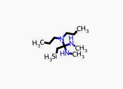 CCCN(CCC)C(C[SiH3])(NC)NC